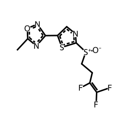 Cc1nc(-c2cnc([S+]([O-])CCC(F)=C(F)F)s2)no1